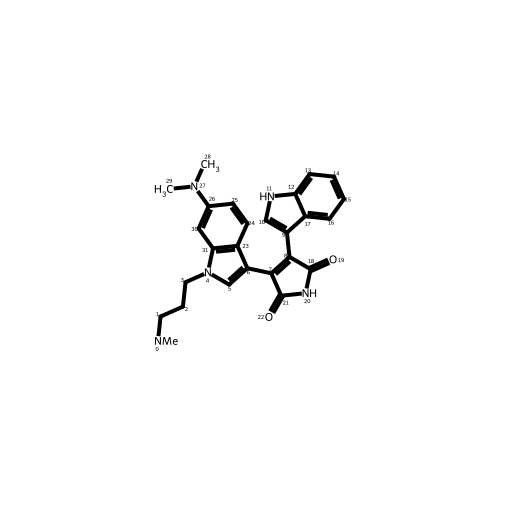 CNCCCn1cc(C2=C(c3c[nH]c4ccccc34)C(=O)NC2=O)c2ccc(N(C)C)cc21